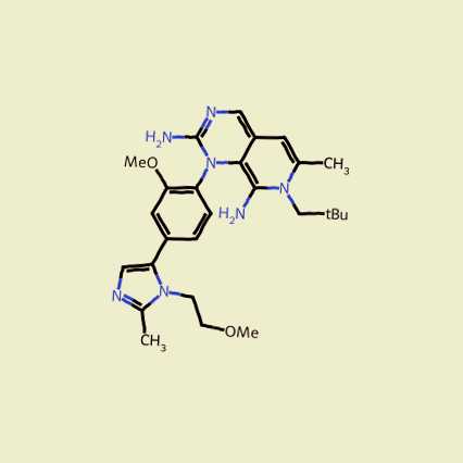 COCCn1c(-c2ccc(N3C(N)=NC=C4C=C(C)N(CC(C)(C)C)C(N)=C43)c(OC)c2)cnc1C